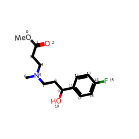 COC(=O)CCN(C)CCC(O)c1ccc(F)cc1